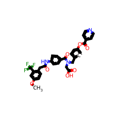 COc1ccc(CC(=O)Nc2ccc(C(=O)N(CC(=O)O)Cc3ccc(OC(=O)c4ccncc4)cc3)cc2)c(C(F)(F)F)c1